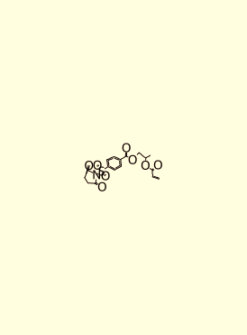 C=CC(=O)OC(C)COC(=O)c1ccc(S(=O)(=O)N2C(=O)CCC2=O)cc1